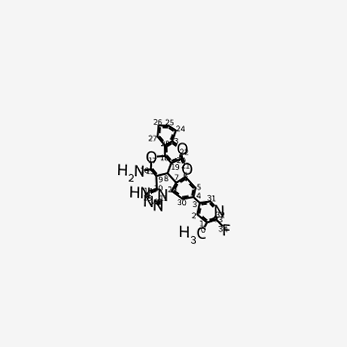 Cc1cc(-c2ccc(C3C(c4nnn[nH]4)=C(N)Oc4c3c(=O)oc3ccccc43)cc2)cnc1F